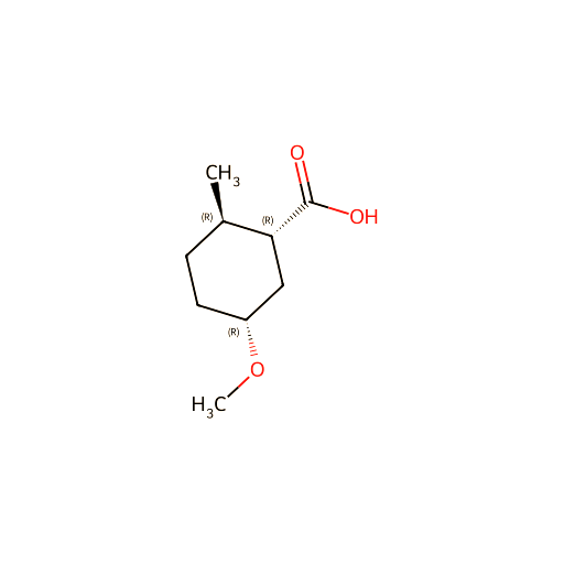 CO[C@@H]1CC[C@@H](C)[C@H](C(=O)O)C1